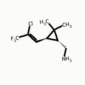 CC1(C)[C@H](/C=C(\Cl)C(F)(F)F)[C@H]1CN